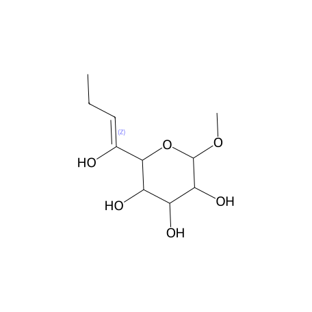 CC/C=C(\O)C1OC(OC)C(O)C(O)C1O